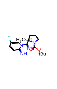 CC(C)(C)OC(=O)N1CCC[C@@]1(C)C(=N)n1cc(F)ccc1=N